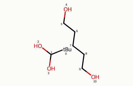 CC(C)(C)C(O)O.OCCCCCO